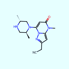 C[C@@H]1CN(c2cc(=O)n(C)c3cc(CC#N)nn23)[C@@H](C)CN1